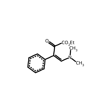 CCOC(=O)C(=O)C(=CN(C)C)c1ccccc1